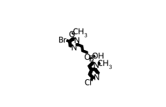 COc1nc(CCCOB(O)c2cc3cc(Cl)ncc3n2C)ncc1Br